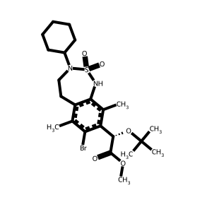 COC(=O)[C@@H](OC(C)(C)C)c1c(C)c2c(c(C)c1Br)CCN(C1CCCCC1)S(=O)(=O)N2